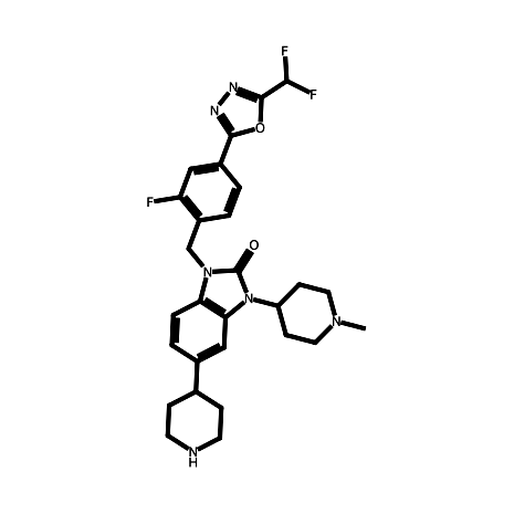 CN1CCC(n2c(=O)n(Cc3ccc(-c4nnc(C(F)F)o4)cc3F)c3ccc(C4CCNCC4)cc32)CC1